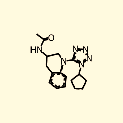 CC(=O)NC1Cc2ccccc2N(c2nnnn2C2CCCC2)C1